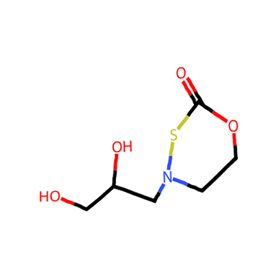 O=C1OCCN(CC(O)CO)S1